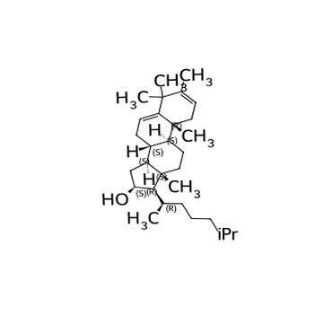 CC1=CC[C@@]2(C)C(=CC[C@H]3[C@@H]4C[C@H](O)[C@H]([C@H](C)CCCC(C)C)[C@@]4(C)CC[C@@H]32)C1(C)C